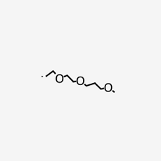 [CH2]COCCOCCCOC